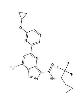 Cc1cc(-c2cccc(OC3CC3)n2)nc2c(C(=O)NC(C3CC3)C(F)(F)F)ncn12